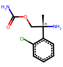 C[C@](N)(COC(N)=O)c1ccccc1Cl